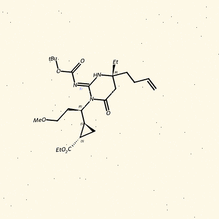 C=CCC[C@]1(CC)CC(=O)N([C@H](CCOC)[C@H]2C[C@@H]2C(=O)OCC)/C(=N/C(=O)OC(C)(C)C)N1